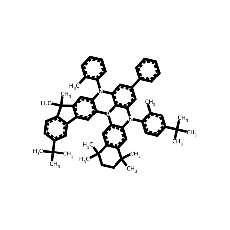 Cc1cc(C(C)(C)C)ccc1N1c2cc3c(cc2B2c4cc5c(cc4N(c4ccccc4C)c4cc(-c6ccccc6)cc1c42)C(C)(C)c1ccc(C(C)(C)C)cc1-5)C(C)(C)CCC3(C)C